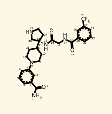 NC(=O)c1cccc(N2CCC([C@]3(NC(=O)CNC(=O)c4cccc(C(F)(F)F)c4)CCNC3)CC2)c1